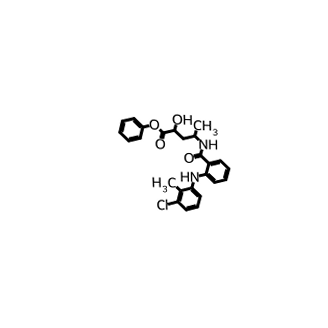 Cc1c(Cl)cccc1Nc1ccccc1C(=O)NC(C)CC(O)C(=O)Oc1ccccc1